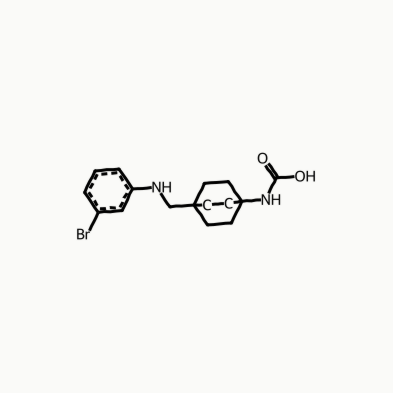 O=C(O)NC12CCC(CNc3cccc(Br)c3)(CC1)CC2